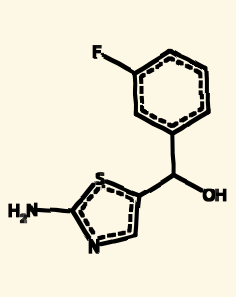 Nc1ncc(C(O)c2cccc(F)c2)s1